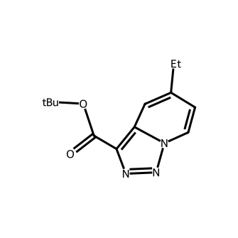 CCc1ccn2nnc(C(=O)OC(C)(C)C)c2c1